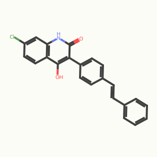 O=c1[nH]c2cc(Cl)ccc2c(O)c1-c1ccc(C=Cc2ccccc2)cc1